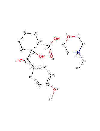 CCN1CCOCC1.COc1ccc(C(=O)C2(O)CCCCC2C(=O)O)cc1